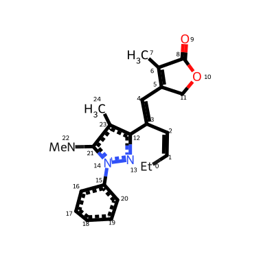 CC/C=C\C(=C/C1=C(C)C(=O)OC1)c1nn(-c2ccccc2)c(NC)c1C